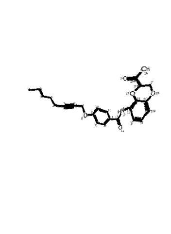 CCCCCC#CCOc1ccc(C(=O)Nc2cccc3c2OC(C(=O)O)CO3)cc1